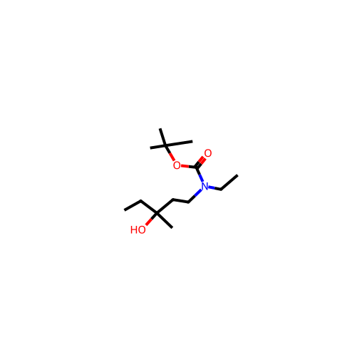 CCN(CCC(C)(O)CC)C(=O)OC(C)(C)C